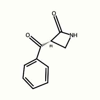 O=C1NC[C@@H]1C(=O)c1ccccc1